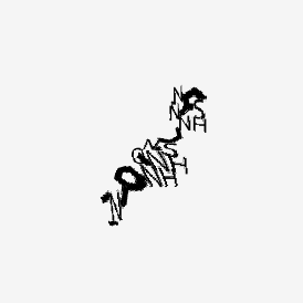 CCN(CC)Cc1cccc(NC(=O)Nc2ncc(CCNc3ncnc4ccsc34)s2)c1